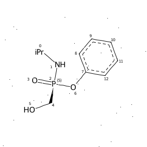 CC(C)N[P@](=O)(CO)Oc1ccccc1